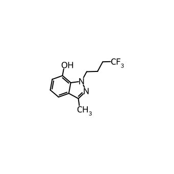 Cc1nn(CCCC(F)(F)F)c2c(O)cccc12